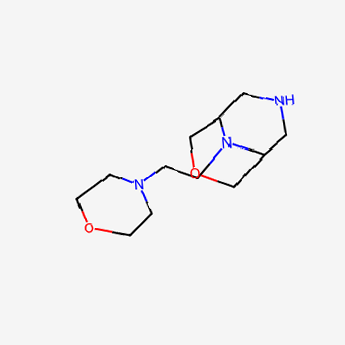 C1CN(CCN2C3CNCC2COC3)CCO1